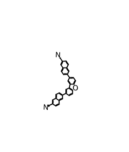 N#Cc1ccc2cc(-c3ccc4oc5ccc(-c6ccc7cc(C#N)ccc7c6)cc5c4c3)ccc2c1